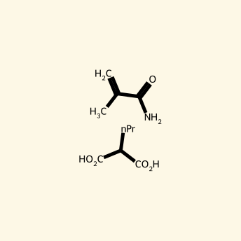 C=C(C)C(N)=O.CCCC(C(=O)O)C(=O)O